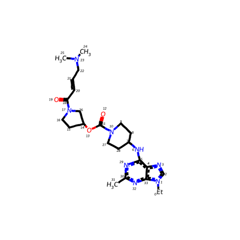 CCn1cnc2c(NC3CCN(C(=O)OC4CCN(C(=O)C=CCN(C)C)C4)CC3)nc(C)nc21